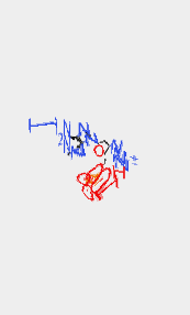 [N-]=[N+]=N[C@@H]1CC(n2cnc3c(N)ncnc32)O[C@@H]1COP(=O)(O)O